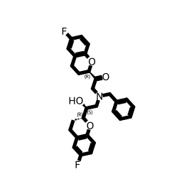 O=C(CN(Cc1ccccc1)C[C@H](O)[C@H]1CCc2cc(F)ccc2O1)[C@H]1CCc2cc(F)ccc2O1